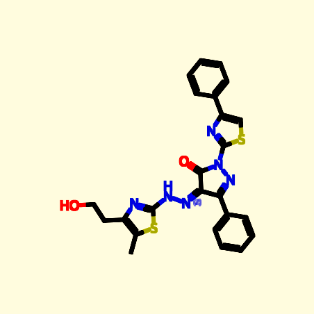 Cc1sc(N/N=C2\C(=O)N(c3nc(-c4ccccc4)cs3)N=C2c2ccccc2)nc1CCO